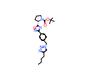 CCCCc1cn(Cc2ccc(-c3noc([C@@H]4CCCN4C(=O)OC(C)(C)C)n3)cc2)nn1